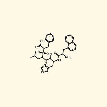 CC(C)CC(NC(=O)[C@H](Cc1c[nH]cn1)NC(=O)[C@H](N)Cc1cccc2ccccc12)P(=O)(O)C(Cc1ccccc1)C(=O)O